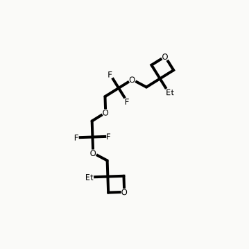 CCC1(COC(F)(F)COCC(F)(F)OCC2(CC)COC2)COC1